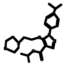 CC(C)OC(=O)c1cnn(-c2ccc(C(C)C)cc2)c1OCCN1CCOCC1